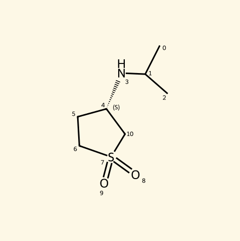 CC(C)N[C@H]1CCS(=O)(=O)C1